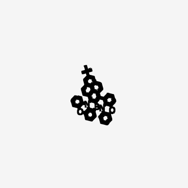 CC(C)(C)c1cc2ccc3c4c5c(c6ccc(c1)c2c36)N1c2ccccc2Oc2cccc(c21)B5N1c2ccccc2Oc2cccc-4c21